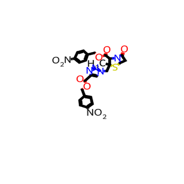 CC1(Cn2cc(C(=O)OCc3ccc([N+](=O)[O-])cc3)nn2)SC2CC(=O)N2C1C(=O)OCc1ccc([N+](=O)[O-])cc1